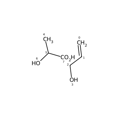 C=CCO.CC(O)C(=O)O